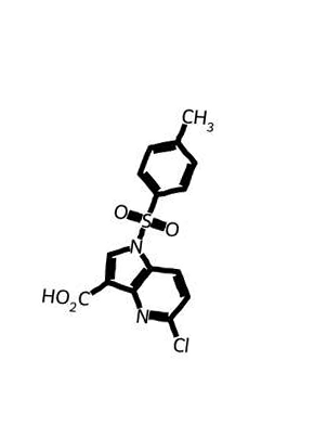 Cc1ccc(S(=O)(=O)n2cc(C(=O)O)c3nc(Cl)ccc32)cc1